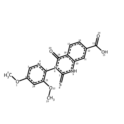 COc1cnc(-n2c(=S)[nH]c3cc(C(=O)O)ccc3c2=O)c(OC)c1